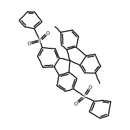 Cc1ccc2c(c1)C1(c3cc(C)ccc3-2)c2cc(S(=O)(=O)c3ccccc3)ccc2-c2ccc(S(=O)(=O)c3ccccc3)cc21